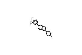 CC1CCC(c2ccc3cc(-c4ccc(F)c(F)c4)ccc3c2)CC1